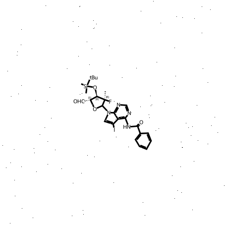 CC(C)(C)[Si](C)(C)O[C@@H]1[C@@H](C=O)OC(n2cc(I)c3c(NC(=O)c4ccccc4)ncnc32)[C@]1(C)F